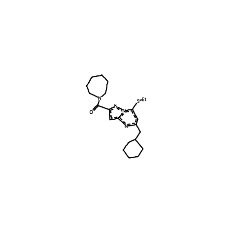 CCSc1cc(CC2CCCCC2)nc2cc(C(=O)N3CCCCCC3)nn12